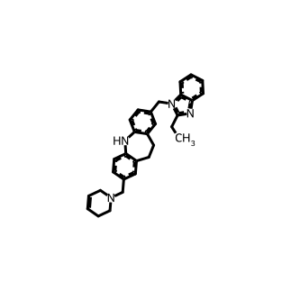 CCc1nc2ccccc2n1Cc1ccc2c(c1)CCc1cc(CN3CC=CCC3)ccc1N2